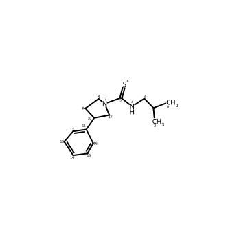 CC(C)CNC(=S)N1CCC(c2ccccc2)C1